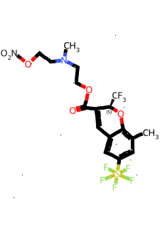 Cc1cc(S(F)(F)(F)(F)F)cc2c1O[C@H](C(F)(F)F)C(C(=O)OCCN(C)CCO[N+](=O)[O-])=C2